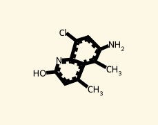 Cc1cc(O)nc2c(Cl)cc(N)c(C)c12